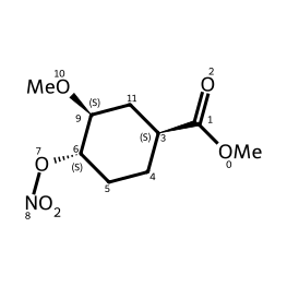 COC(=O)[C@H]1CC[C@H](O[N+](=O)[O-])[C@@H](OC)C1